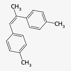 CC(=Cc1ccc(C)cc1)c1ccc(C)cc1